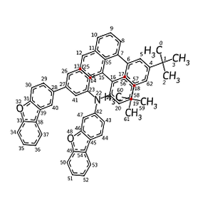 CC(C)(C)c1cc(-c2cccc3cccc(-c4ccccc4N(c4cccc(-c5ccc6oc7ccccc7c6c5)c4)c4ccc5c(c4)oc4ccccc45)c23)cc(C(C)(C)C)c1